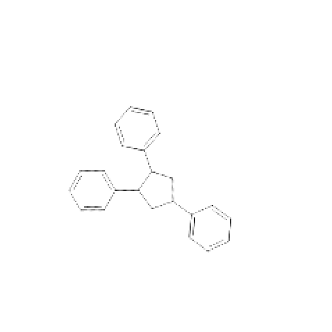 c1ccc(C2CC(c3ccccc3)C(c3ccccc3)C2)cc1